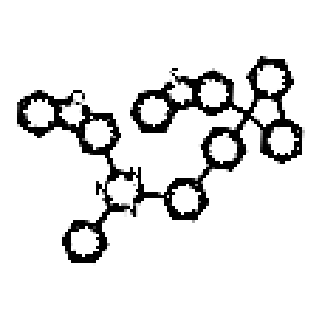 c1ccc(-c2nc(-c3cccc(-c4ccc(C5(c6ccc7sc8ccccc8c7c6)c6ccccc6-c6ccccc65)cc4)c3)nc(-c3ccc4oc5ccccc5c4c3)n2)cc1